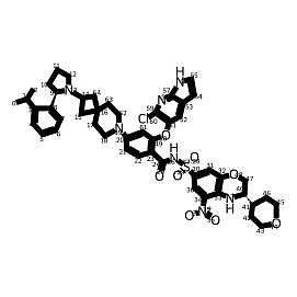 CC(C)c1ccccc1[C@H]1CCCN1C1CC2(CCN(c3ccc(C(=O)NS(=O)(=O)c4cc5c(c([N+](=O)[O-])c4)N[C@@H](C4CCOCC4)CO5)c(Oc4cc5cc[nH]c5nc4Cl)c3)CC2)C1